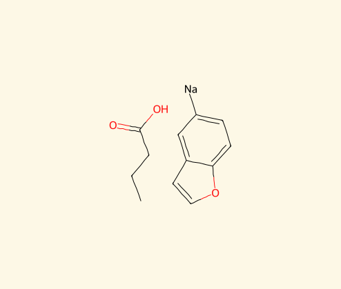 CCCC(=O)O.[Na][c]1ccc2occc2c1